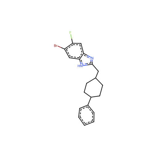 Fc1cc2nc(CC3CCC(c4ccccc4)CC3)[nH]c2cc1Br